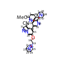 COc1ccc(CN2C3CC(c4ccc(-c5cc(OCCN6CC7CC(C6)N7C)cn6ncc(C#N)c56)cn4)CC2C3)cn1